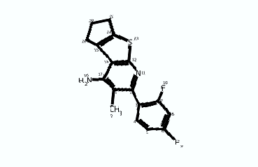 Cc1c(-c2ccc(F)cc2F)nc2sc3c(c2c1N)CCC3